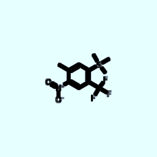 Cc1cc([Si](C)(C)C)c(C(F)(F)F)cc1[N+](=O)[O-]